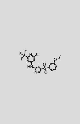 CCOc1cccc(S(=O)(=O)c2cnc(Nc3cc(Cl)nc(C(F)(F)F)n3)s2)c1